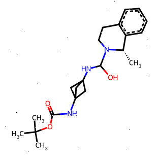 C[C@H]1c2ccccc2CCN1C(O)NC12CC(NC(=O)OC(C)(C)C)(C1)C2